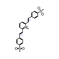 C[n+]1c(/C=C/c2ccc(S(C)(=O)=O)cc2)cccc1/C=C/c1ccc(S(C)(=O)=O)cc1